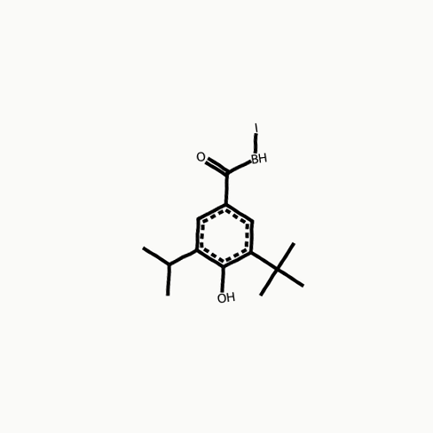 CC(C)c1cc(C(=O)BI)cc(C(C)(C)C)c1O